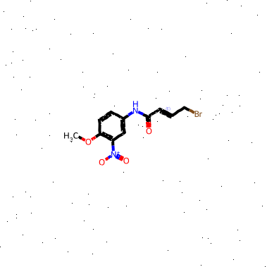 COc1ccc(NC(=O)/C=C/CBr)cc1[N+](=O)[O-]